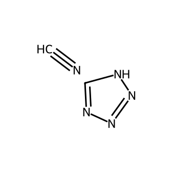 C#N.c1nnn[nH]1